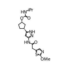 COc1ncc(CC(=O)Nc2cc([C@H]3CC[C@@H](OC(=O)NC(C)C)C3)[nH]n2)s1